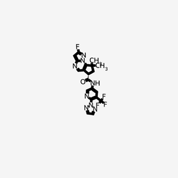 CC1(C)C[C@H](C(=O)Nc2cnc(-n3nccn3)c(C(F)(F)F)c2)c2cnc3cc(F)nn3c21